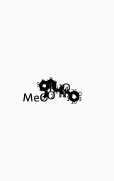 COC(=O)c1cccc2ccn(Cc3coc(C4=CCCC=C4)n3)c12